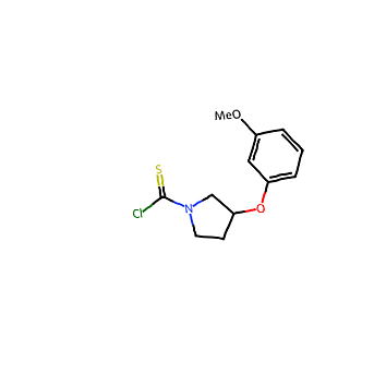 COc1cccc(OC2CCN(C(=S)Cl)C2)c1